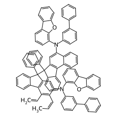 C=Cc1c(/C=C\C)c(N(c2cccc(-c3ccccc3)c2)c2cccc3c2oc2ccccc23)cc2c1-c1ccccc1C2(c1ccccc1)C1(c2ccccc2)c2ccccc2-c2c1cc(N(c1cccc(-c3ccccc3)c1)c1cccc3c1oc1ccccc13)c1ccccc21